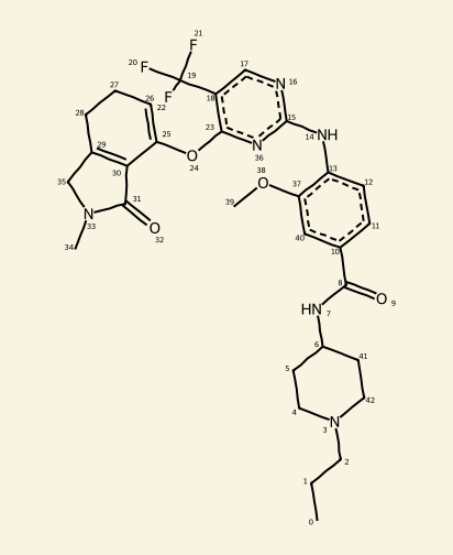 CCCN1CCC(NC(=O)c2ccc(Nc3ncc(C(F)(F)F)c(OC4=CCCC5=C4C(=O)N(C)C5)n3)c(OC)c2)CC1